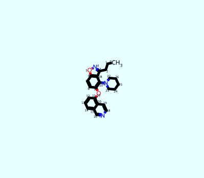 CCCc1noc2ccc(Oc3cccc4cnccc34)c(N3CCCCC3)c12